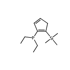 CCP(CC)C1=C([Si](C)(C)C)CC=C1